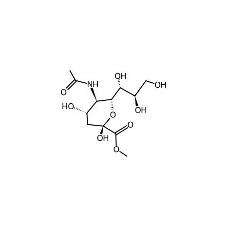 COC(=O)[C@]1(O)C[C@H](O)[C@@H](NC(C)=O)[C@H]([C@H](O)[C@H](O)CO)O1